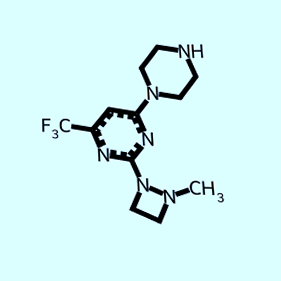 CN1CCN1c1nc(N2CCNCC2)cc(C(F)(F)F)n1